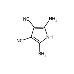 Bc1[nH]c(N)c(C#N)c1C#N